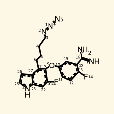 [N-]=[N+]=NCCCCc1c(Oc2ccc(F)c(C(=N)N)c2)c(F)cc2[nH]ccc12